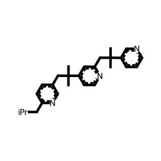 CC(C)Cc1ccc(CC(C)(C)c2ccnc(CC(C)(C)c3cccnc3)c2)cn1